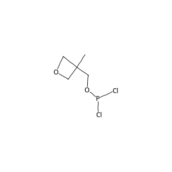 CC1(COP(Cl)Cl)COC1